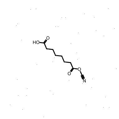 N#COC(=O)CCCCCCC(=O)O